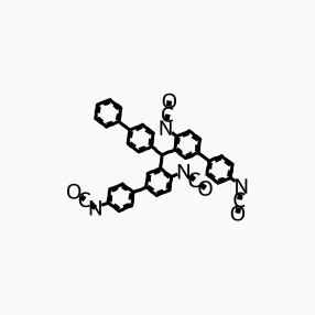 O=C=Nc1ccc(-c2ccc(N=C=O)c(C(c3ccc(-c4ccccc4)cc3)c3cc(-c4ccc(N=C=O)cc4)ccc3N=C=O)c2)cc1